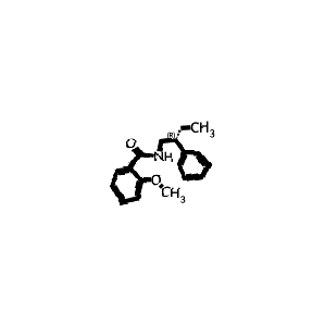 CC[C@@H](CNC(=O)c1ccccc1OC)c1ccccc1